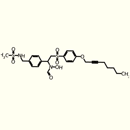 CCCCCC#CCOc1ccc(S(=O)(=O)CC(c2ccc(CNS(C)(=O)=O)cc2)N(O)C=O)cc1